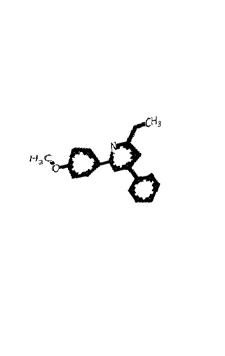 CCc1cc(-c2ccccc2)cc(-c2ccc(OC)cc2)n1